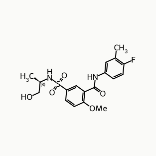 COc1ccc(S(=O)(=O)N[C@H](C)CO)cc1C(=O)Nc1ccc(F)c(C)c1